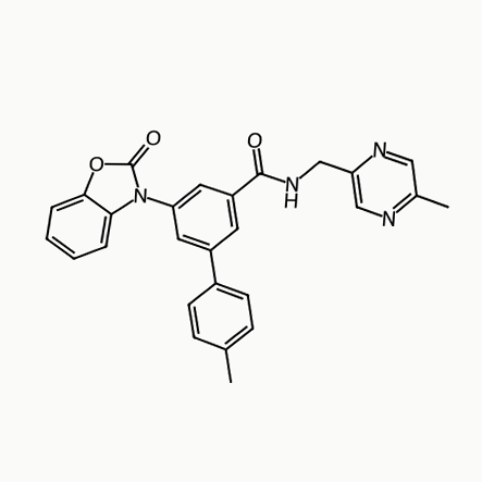 Cc1ccc(-c2cc(C(=O)NCc3cnc(C)cn3)cc(-n3c(=O)oc4ccccc43)c2)cc1